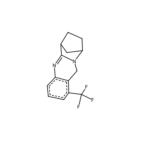 FC(F)(F)c1cccc2c1CN1C(=N2)C2CCC1C2